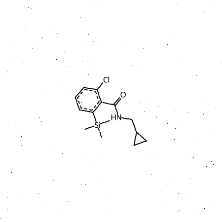 C[Si](C)(C)c1cccc(Cl)c1C(=O)NCC1CC1